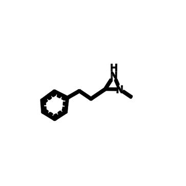 CN1NC1CCc1ccccc1